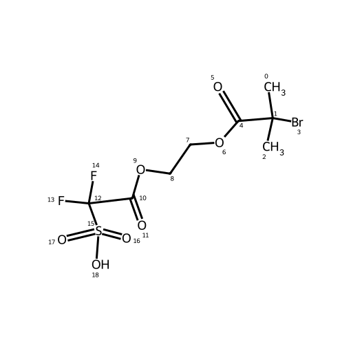 CC(C)(Br)C(=O)OCCOC(=O)C(F)(F)S(=O)(=O)O